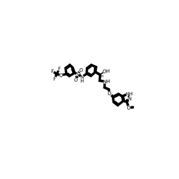 COc1n[nH]c2cc(OCCNC[C@H](O)c3cccc(NS(=O)(=O)c4cccc(OC(F)(F)F)c4)c3)ccc12